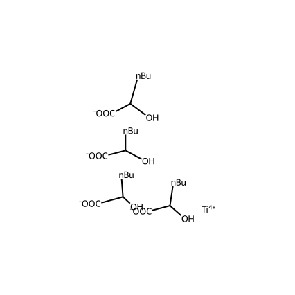 CCCCC(O)C(=O)[O-].CCCCC(O)C(=O)[O-].CCCCC(O)C(=O)[O-].CCCCC(O)C(=O)[O-].[Ti+4]